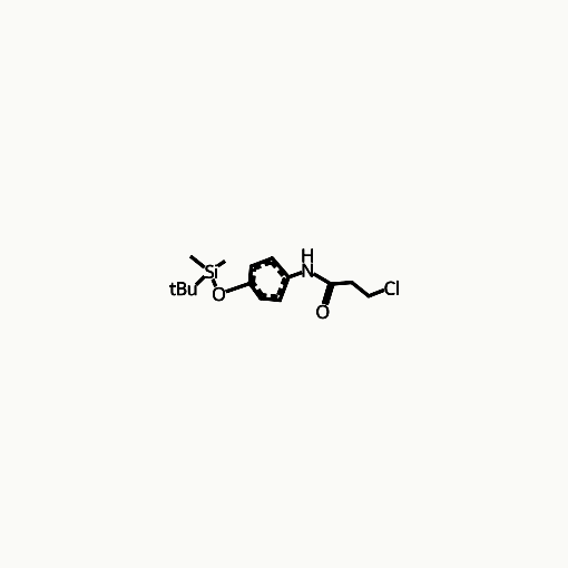 CC(C)(C)[Si](C)(C)Oc1ccc(NC(=O)CCCl)cc1